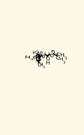 C=C(C)C(=O)OCC(O)COC(=O)C12CC3(C)CC(C)(CC(O)(C3)C1)C2